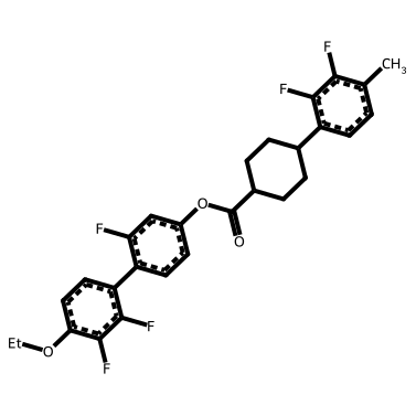 CCOc1ccc(-c2ccc(OC(=O)C3CCC(c4ccc(C)c(F)c4F)CC3)cc2F)c(F)c1F